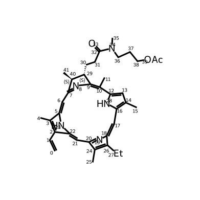 C=Cc1c(C)c2cc3nc(c(C)c4cc(C)c(cc5nc(cc1[nH]2)C(C)=C5CC)[nH]4)[C@@H](CCC(=O)N(C)CCCOC(C)=O)[C@@H]3C